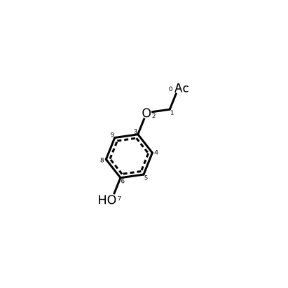 CC(=O)COc1ccc(O)cc1